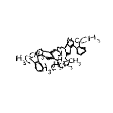 CC(C)CC1=Cc2c(-c3ccccc3C(C)C)cccc2C1C[SiH2]CC1C(CC(C)C)=Cc2c(-c3ccccc3C(C)C)cccc21